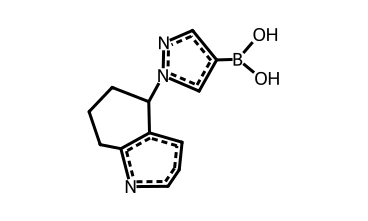 OB(O)c1cnn(C2CCCc3ncccc32)c1